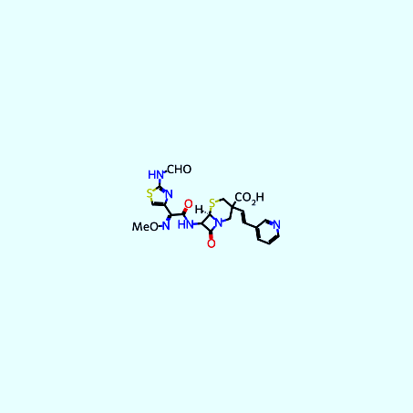 CON=C(C(=O)NC1C(=O)N2CC(C=Cc3cccnc3)(C(=O)O)CS[C@H]12)c1csc(NC=O)n1